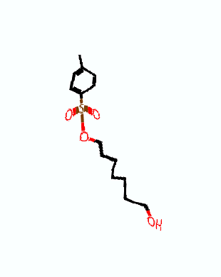 Cc1ccc(S(=O)(=O)OCCCCCCCO)cc1